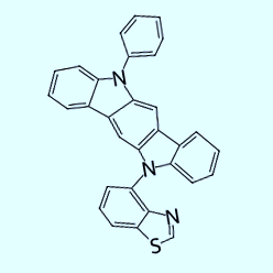 c1ccc(-n2c3ccccc3c3cc4c(cc32)c2ccccc2n4-c2cccc3scnc23)cc1